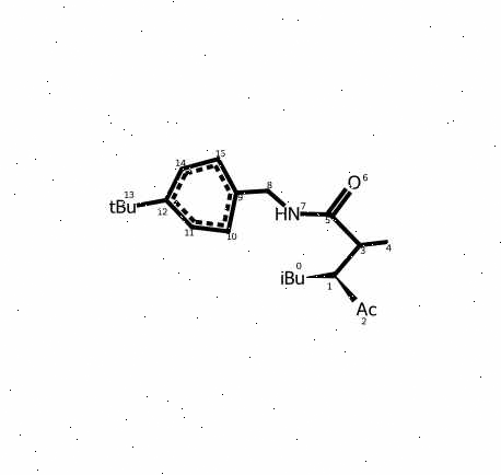 CC[C@H](C)[C@H](C(C)=O)C(C)C(=O)NCc1ccc(C(C)(C)C)cc1